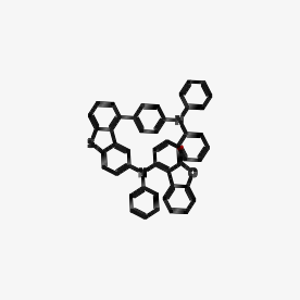 c1ccc(N(c2ccccc2)c2ccc(-c3cccc4sc5ccc(N(c6ccccc6)c6cccc7oc8ccccc8c67)cc5c34)cc2)cc1